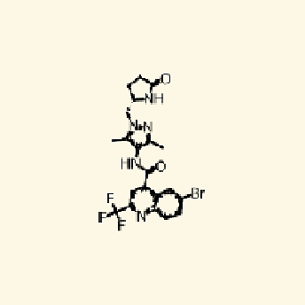 Cc1nn(C[C@@H]2CCC(=O)N2)c(C)c1NC(=O)c1cc(C(F)(F)F)nc2ccc(Br)cc12